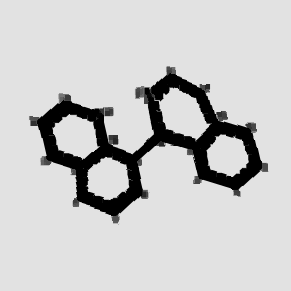 c1ccc2c(-c3cccc4cccnc34)nccc2c1